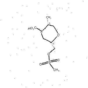 C[C@@H]1CO[C@H](COS(C)(=O)=O)CN1C(=O)O